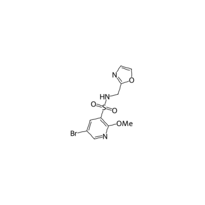 COc1ncc(Br)cc1S(=O)(=O)NCc1ncco1